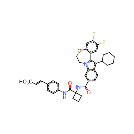 O=C(O)/C=C/c1ccc(NC(=O)C2(NC(=O)c3ccc4c(C5CCCCC5)c5n(c4c3)CCOc3cc(F)c(F)cc3-5)CCC2)cc1